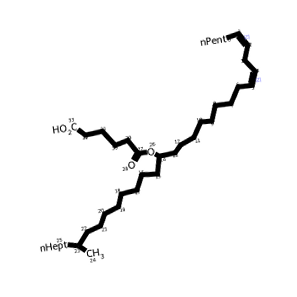 CCCCC/C=C\C/C=C\CCCCCCCCC(CCCCCCCCC(C)CCCCCCC)OC(=O)CCCCC(=O)O